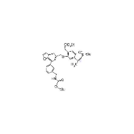 CCOC(=O)Cc1ccc(/C(C)=C\[S+]([O-])C(C)(C)C)cc1OCc1cc(-c2cccc(CNC(=O)OC(C)(C)C)c2)c2occc2c1